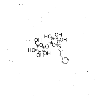 OC[C@H]1O[C@H](OC[C@H]2O[C@H](SCC=Cc3ccccc3)[C@@H](O)[C@@H](O)[C@@H]2O)[C@@H](O)[C@@H](O)[C@@H]1O